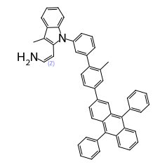 Cc1cc(-c2ccc3c(-c4ccccc4)c4ccccc4c(-c4ccccc4)c3c2)ccc1-c1cccc(-n2c(/C=C\N)c(C)c3ccccc32)c1